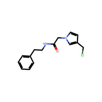 O=C(Cn1ccc(CCl)c1)NCCc1ccccc1